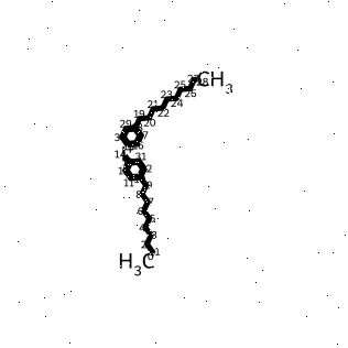 CCCCCCCCCCc1ccc([I+]c2ccc(CCCCCCCCCC)cc2)cc1